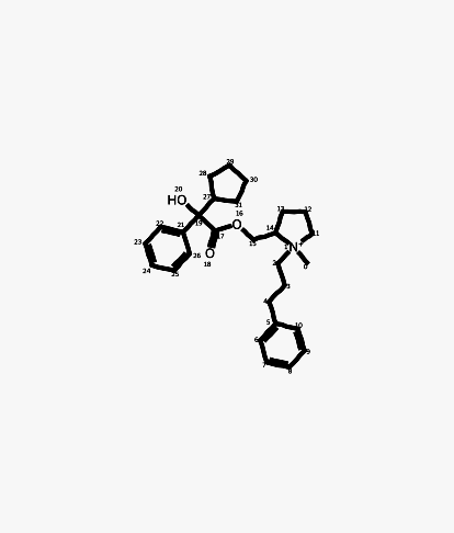 C[N+]1(CCCc2ccccc2)CCCC1COC(=O)C(O)(c1ccccc1)C1CCCC1